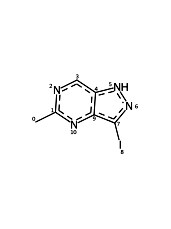 Cc1ncc2[nH]nc(I)c2n1